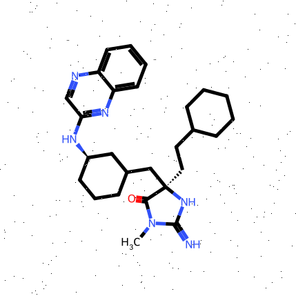 CN1C(=N)N[C@](CCC2CCCCC2)(CC2CCC[C@@H](Nc3cnc4ccccc4n3)C2)C1=O